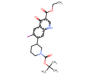 CCOC(=O)c1c[nH]c2cc(C3CCCN(C(=O)OC(C)(C)C)C3)c(I)cc2c1=O